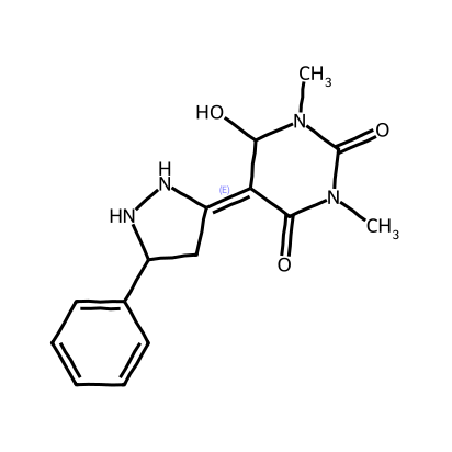 CN1C(=O)/C(=C2\CC(c3ccccc3)NN2)C(O)N(C)C1=O